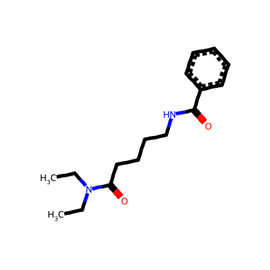 CCN(CC)C(=O)CCCCNC(=O)c1ccccc1